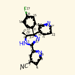 C[C@@H]1NC(c2cc(C#N)ccn2)=N[C@@]1(c1ccc(F)cc1)c1cccnc1